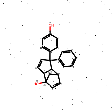 Oc1ccc(C2(c3ccccc3)C=CC3C2C2C=CC3(O)C2)cc1